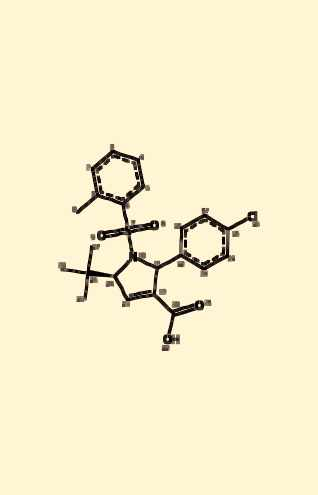 Cc1ccccc1S(=O)(=O)N1C(c2ccc(Cl)cc2)C(C(=O)O)=C[C@H]1C(C)(C)C